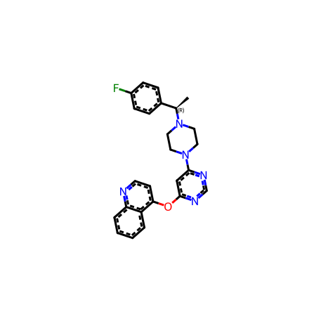 C[C@H](c1ccc(F)cc1)N1CCN(c2cc(Oc3ccnc4ccccc34)ncn2)CC1